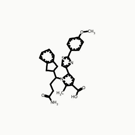 COc1ccc(-c2nc(-c3cc(C(=O)O)c(C)n3C(CCC(N)=O)C3Cc4ccccc4C3)cs2)cc1